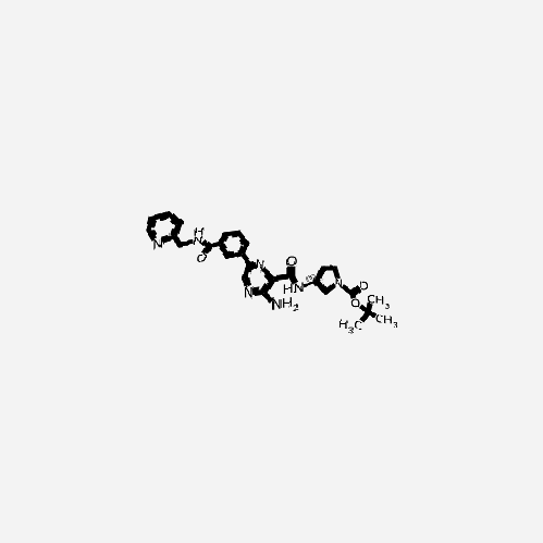 CC(C)(C)OC(=O)N1CC[C@H](NC(=O)c2nc(-c3cccc(C(=O)NCc4ccccn4)c3)cnc2N)C1